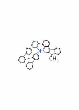 CC1c2ccccc2-c2ccc(N(c3ccc4c(c3)C3(c5ccccc5-c5ccccc53)c3ccccc3-4)c3ccccc3-c3ccccc3)cc21